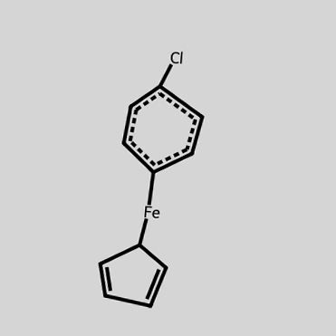 Clc1cc[c]([Fe][CH]2C=CC=C2)cc1